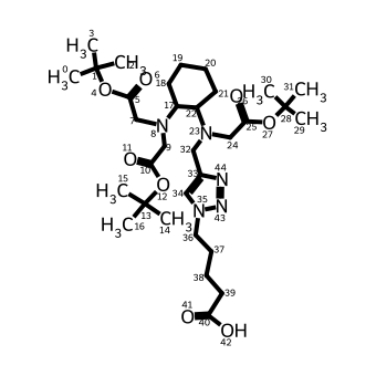 CC(C)(C)OC(=O)CN(CC(=O)OC(C)(C)C)C1CCCCC1N(CC(=O)OC(C)(C)C)Cc1cn(CCCCC(=O)O)nn1